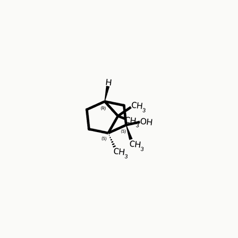 CC1(C)[C@@H]2CC[C@]1(C)[C@@](C)(O)C2